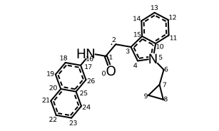 O=C([CH]c1cn(CC2CC2)c2ccccc12)Nc1ccc2ccccc2c1